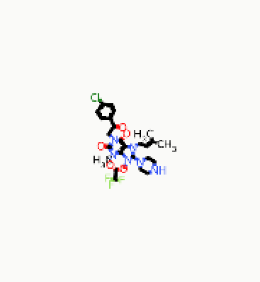 CC(C)=CCN1c2c(n(C)c(=O)n(CC(=O)c3ccc(Cl)cc3)c2=O)N(OC(=O)C(F)(F)F)C1N1CCNCC1